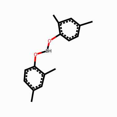 Cc1ccc(OBOc2ccc(C)cc2C)c(C)c1